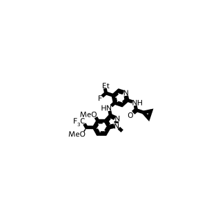 CCC(F)c1cnc(NC(=O)C2CC2)cc1Nc1nn(C)c2ccc([C@H](OC)C(F)(F)F)c(OC)c12